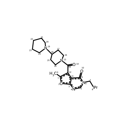 Cc1oc2ncn(CC(C)C)c(=O)c2c1C(=O)N1CCC(N2CCCCC2)CC1